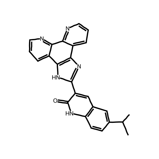 CC(C)c1ccc2[nH]c(=O)c(-c3nc4c5cccnc5c5ncccc5c4[nH]3)cc2c1